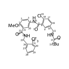 COc1ccc(NC(=O)c2cc(CNC(=O)C(C)(C)C)ccc2Cl)cc1C(=O)NCc1ccccc1C(F)(F)F